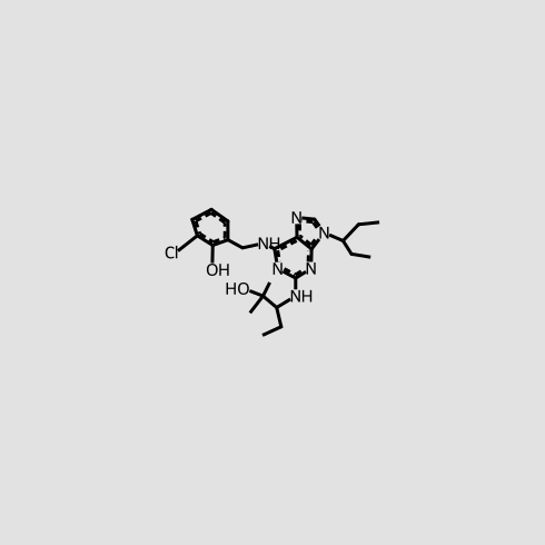 CCC(CC)n1cnc2c(NCc3cccc(Cl)c3O)nc(NC(CC)C(C)(C)O)nc21